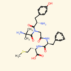 CSCC[C@H](NC(=O)[C@H](Cc1ccccc1)NC(=O)CN(C(=O)[C@@H](N)Cc1ccc(O)cc1)C(=O)C(C)(C)N)C(=O)O